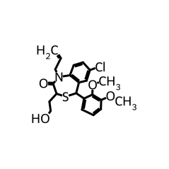 C=CCN1C(=O)C(CCO)SC(c2cccc(OC)c2OC)c2cc(Cl)ccc21